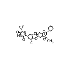 CCS(=O)(=O)c1cc(Oc2c(Cl)cc(-n3nc(C(F)F)c(=O)[nH]c3=O)cc2Cl)ncc1OCc1ccccc1